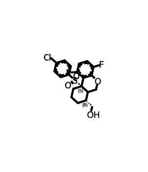 O=S(=O)(c1ccc(Cl)cc1)[C@@]12CCC[C@@H](CO)C1COc1c(F)ccc(F)c12